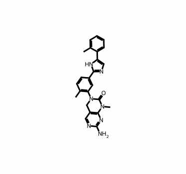 Cc1ccccc1-c1cnc(-c2ccc(C)c(N3Cc4cnc(N)nc4N(C)C3=O)c2)[nH]1